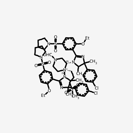 CCOc1ccc(S(=O)(=O)N2CCCC2)cc1C1=NC(C)(c2ccc(Cl)cc2)C(C)N1[C@H]1CN(C=O)CC[N@+]1(CCCS(C)(=O)=O)N1C(c2cc(S(=O)(=O)N3CCCC3)ccc2OCC)=NC(C)(c2ccc(Cl)cc2)C1C